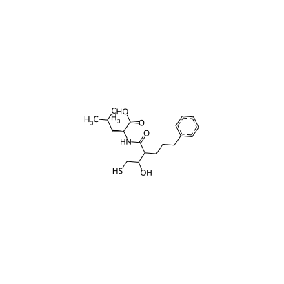 CC(C)C[C@H](NC(=O)C(CCCc1ccccc1)C(O)CS)C(=O)O